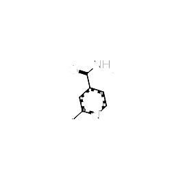 NC(=O)c1ccnc(I)c1